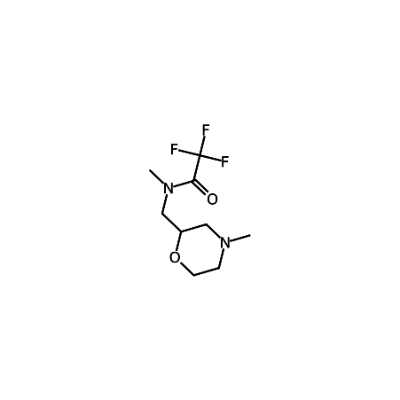 CN1CCOC(CN(C)C(=O)C(F)(F)F)C1